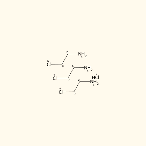 Cl.NCCCl.NCCCl.NCCCl